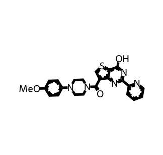 COc1ccc(N2CCN(C(=O)c3csc4c(O)nc(-c5ccccn5)nc34)CC2)cc1